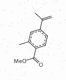 C=C(C)c1ccc(C(=O)OC)c(C)c1